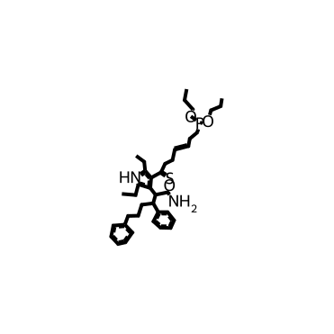 CCCOP(CCC=CCCC(=S)c1c(CC)[nH]c(CC)c1C(C(N)=O)C(CCCc1ccccc1)c1ccccc1)OCCC